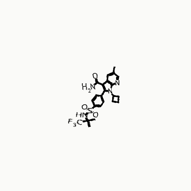 Cc1cnc2c(c1)c(C(N)=O)c(-c1ccc(S(=O)(=O)NC(C)(C)C(F)(F)F)cc1)n2C1CCC1